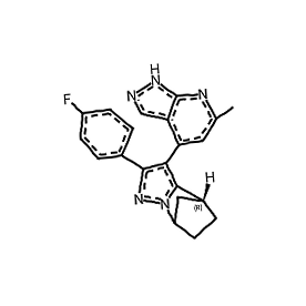 Cc1cc(-c2c(-c3ccc(F)cc3)nn3c2[C@@H]2CCC3C2)c2cn[nH]c2n1